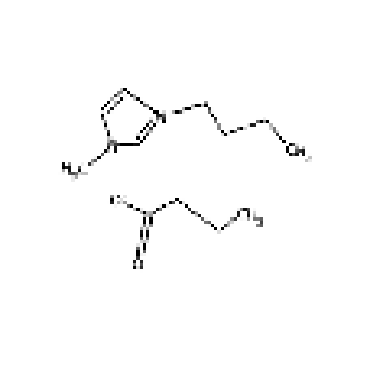 CCCC(=O)[O-].CCCC[n+]1ccn(C)c1